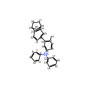 Cc1ccc(N(c2ccccc2)c2ccccc2)cc1-c1ccc2c(c1)C1CCC2CC1